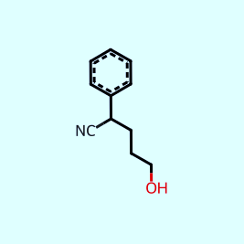 N#CC(CCCO)c1ccccc1